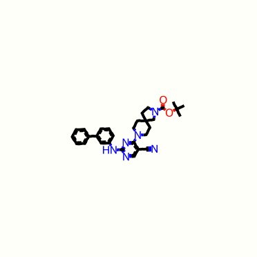 CC(C)(C)OC(=O)N1CCC2(CCN(c3nc(Nc4cccc(-c5ccccc5)c4)ncc3C#N)CC2)C1